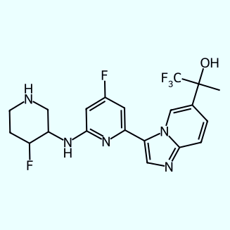 CC(O)(c1ccc2ncc(-c3cc(F)cc(NC4CNCCC4F)n3)n2c1)C(F)(F)F